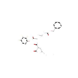 CCCCCC1CC(C(=O)O[C@@H](CCNC(=O)OCc2ccccc2)C(=O)Oc2c(F)c(F)c(F)c(F)c2F)C(=O)O1